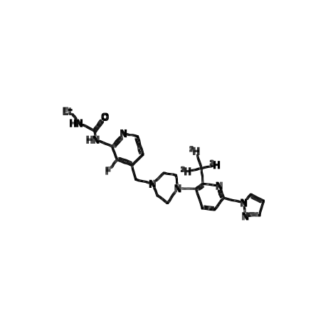 [2H]C([2H])([2H])c1nc(-n2cccn2)ccc1N1CCN(Cc2ccnc(NC(=O)NCC)c2F)CC1